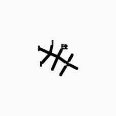 CCC(C)(C(I)(I)I)S(C)(C)C